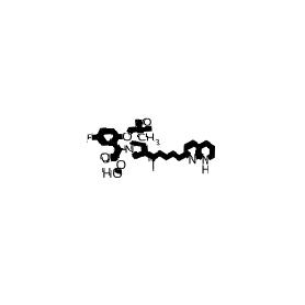 CC1(COc2ccc(F)cc2[C@H](C(=O)OO)N2CCC([C@H](I)CCCCc3ccc4c(n3)NCCC4)C2)COC1